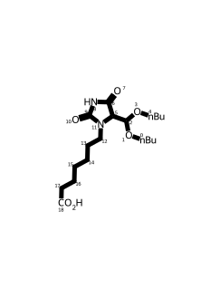 CCCCOC(OCCCC)C1C(=O)NC(=O)N1CCCCCCC(=O)O